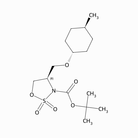 CC(C)(C)OC(=O)N1[C@H](CO[C@H]2CC[C@H](C)CC2)COS1(=O)=O